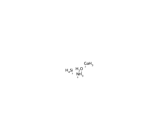 N.O.[GaH3].[SiH4]